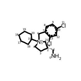 NC[C@@H]1CC[N+](Cc2ccc(Cl)cc2Cl)(C2CCCCC2)C1